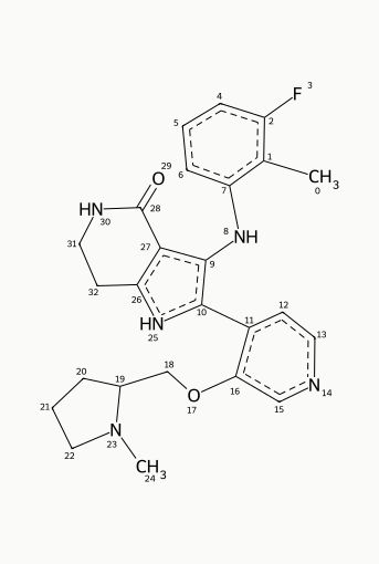 Cc1c(F)cccc1Nc1c(-c2ccncc2OCC2CCCN2C)[nH]c2c1C(=O)NCC2